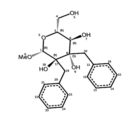 CO[C@@H]1O[C@H](CO)[C@@H](O)[C@@](O)(Cc2ccccc2)[C@]1(O)Cc1ccccc1